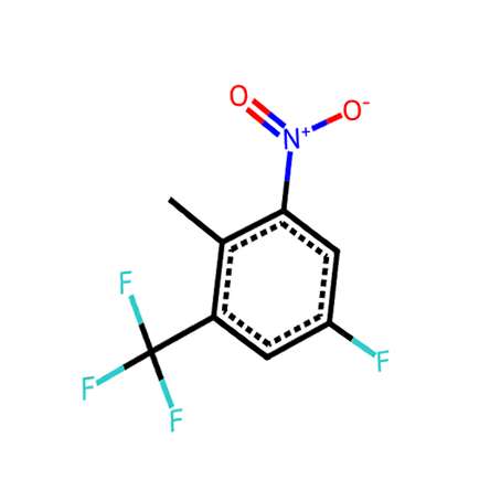 Cc1c([N+](=O)[O-])cc(F)cc1C(F)(F)F